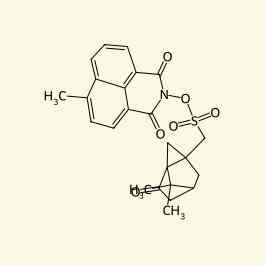 Cc1ccc2c3c(cccc13)C(=O)N(OS(=O)(=O)CC13CC4CC(=O)C1(C3)C4(C)C)C2=O